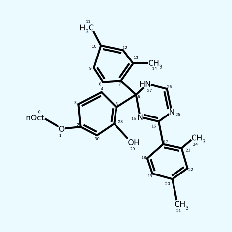 CCCCCCCCOc1ccc(C2(c3ccc(C)cc3C)N=C(c3ccc(C)cc3C)N=CN2)c(O)c1